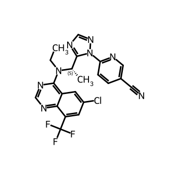 CCN(c1ncnc2c(C(F)(F)F)cc(Cl)cc12)[C@@H](C)c1ncnn1-c1ccc(C#N)cn1